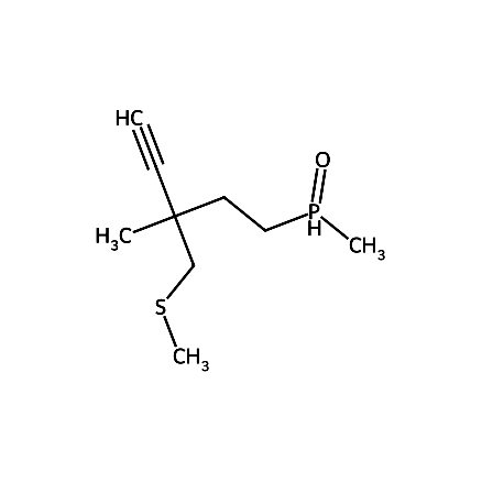 C#CC(C)(CC[PH](C)=O)CSC